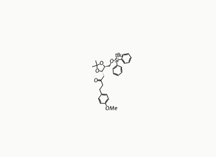 COc1ccc(CCC(=O)C[C@@H]2OC(C)(C)O[C@H]2CO[Si](c2ccccc2)(c2ccccc2)C(C)(C)C)cc1